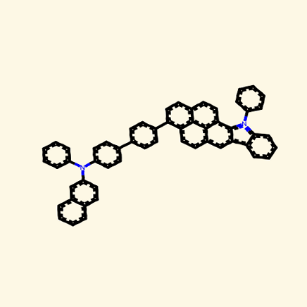 c1ccc(N(c2ccc(-c3ccc(-c4ccc5ccc6c7c(ccc4c57)cc4c5ccccc5n(-c5ccccc5)c46)cc3)cc2)c2ccc3ccccc3c2)cc1